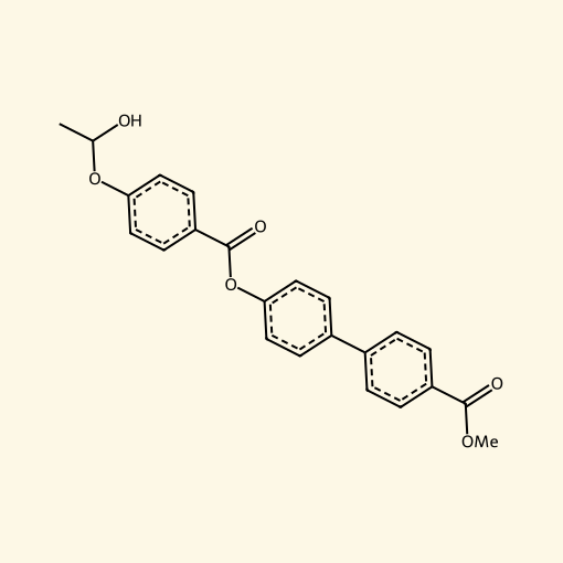 COC(=O)c1ccc(-c2ccc(OC(=O)c3ccc(OC(C)O)cc3)cc2)cc1